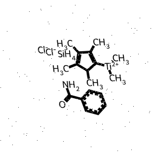 CC1=C(C)C(C)[C]([Ti+2]([CH3])[CH3])=C1C.NC(=O)c1ccccc1.[Cl-].[Cl-].[SiH4]